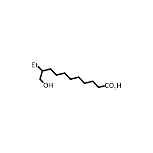 CCC(CO)CCCCCCCCC(=O)O